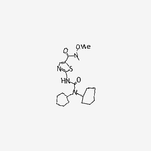 CON(C)C(=O)c1cnc(NC(=O)N(C2CCCCC2)C2CCCCC2)s1